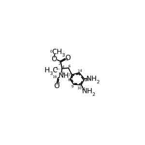 COC(=O)[C@@](C)(Cc1ccc(N)c(N)c1)NC=O